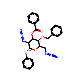 [N-]=[N+]=NCC1O[C@H](Sc2ccccc2)C(N=[N+]=[N-])C(OC(=O)c2ccccc2)[C@H]1OCc1ccccc1